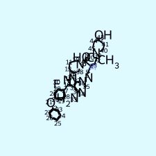 CC(C)(/C=C(/C#N)C(=O)N1CCC[C@@H](n2nc(-c3ccc(Oc4ccccc4)cc3F)c3c(N)ncnc32)C1)N1CCC(O)CC1